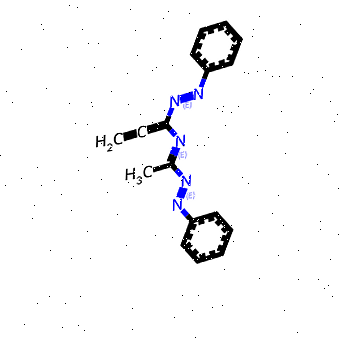 C=C=C(/N=N/c1ccccc1)/N=C(C)/N=N/c1ccccc1